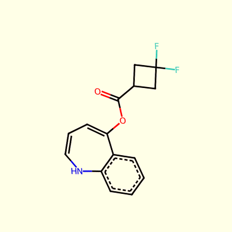 O=C(OC1=CC=CNc2ccccc21)C1CC(F)(F)C1